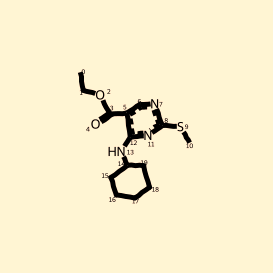 CCOC(=O)c1cnc(SC)nc1NC1CCCCC1